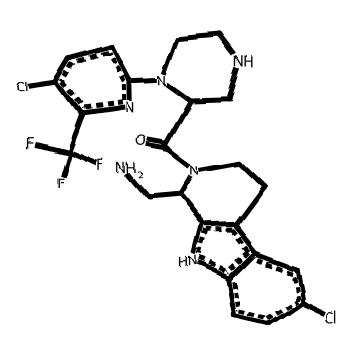 NCC1c2[nH]c3ccc(Cl)cc3c2CCN1C(=O)C1CNCCN1c1ccc(Cl)c(C(F)(F)F)n1